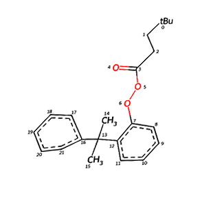 CC(C)(C)CCC(=O)OOc1ccccc1C(C)(C)c1ccccc1